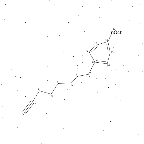 [C]#CCCCCCCc1ccc(CCCCCCCC)cc1